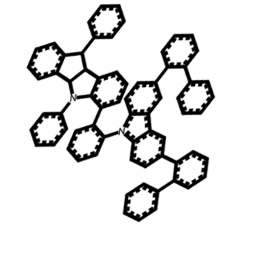 c1ccc(-c2ccccc2-c2ccc3c(c2)c2cc(-c4ccccc4-c4ccccc4)ccc2n3-c2ccccc2-c2cccc3c2N(c2ccccc2)C2c4ccccc4C(c4ccccc4)C32)cc1